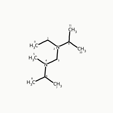 CCN(CN(C)C(C)C)C(C)C